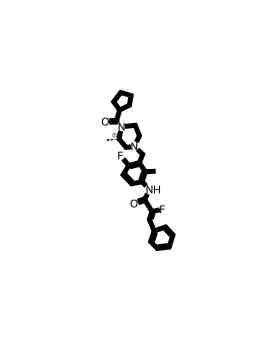 Cc1c(NC(=O)C(F)=Cc2ccccc2)ccc(F)c1CN1CCN(C(=O)C2CCCC2)[C@@H](C)C1